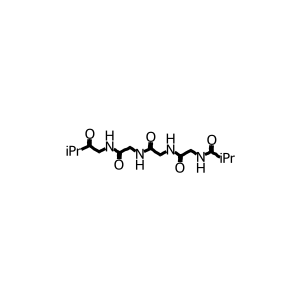 CC(C)C(=O)CNC(=O)CNC(=O)CNC(=O)CNC(=O)C(C)C